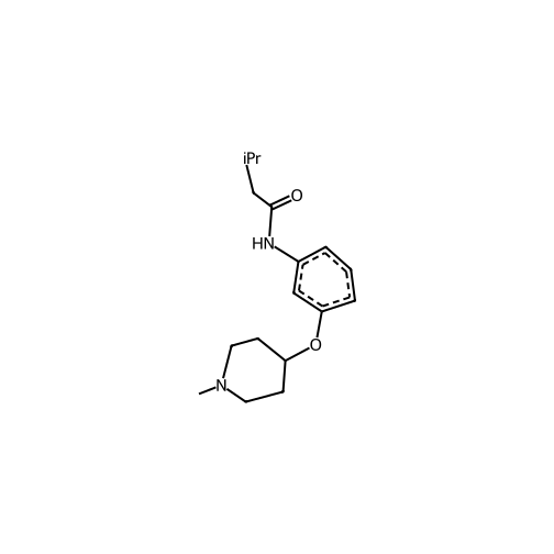 CC(C)CC(=O)Nc1cccc(OC2CCN(C)CC2)c1